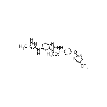 CCC(Nc1nc2ccc(Nc3cc(C)[nH]n3)cc2n1C)c1ccc(Oc2ncc(C(F)(F)F)cn2)cc1